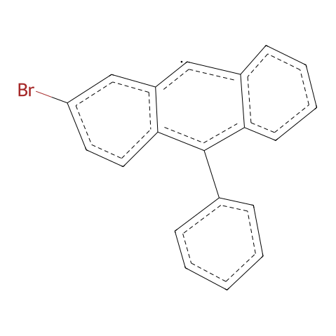 Brc1ccc2c(-c3ccccc3)c3ccccc3[c]c2c1